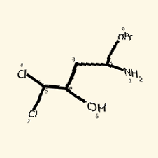 CCCC(N)CC(O)C(Cl)Cl